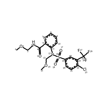 COCNC(=O)c1ncccc1N(COC)S(=O)(=O)c1ccc(Cl)c(C(F)(F)F)c1